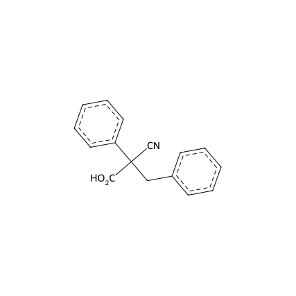 N#CC(Cc1ccccc1)(C(=O)O)c1ccccc1